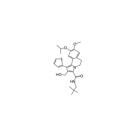 COc1cc2c(cc1OC(C)C)-c1c(-c3cccs3)c(CO)c(C(=O)NCC(C)(C)C)n1CC2